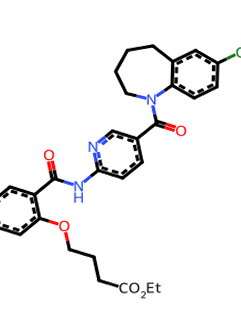 CCOC(=O)CCCOc1ccccc1C(=O)Nc1ccc(C(=O)N2CCCCc3cc(Cl)ccc32)cn1